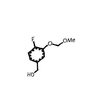 COCOc1cc(CO)ccc1F